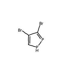 Brc1c[pH]pc1Br